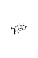 CC12CC=CC=[N+]1CC1C=C(F)NC(F)C12